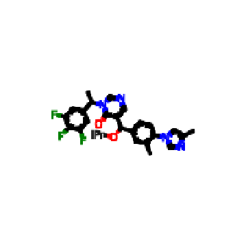 Cc1cn(-c2ccc(C(OC(C)C)c3cncn(C(C)c4cc(F)c(F)c(F)c4)c3=O)cc2C)cn1